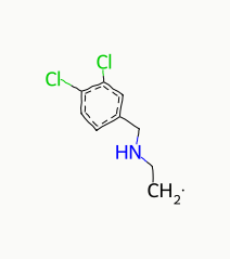 [CH2]CNCc1ccc(Cl)c(Cl)c1